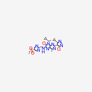 CCS(=O)(=O)c1cnc(CNc2nc3c(C)nc(-c4c(OC)ncnc4C4CC4)nc3n(C(C)C3CC3)c2=O)nc1